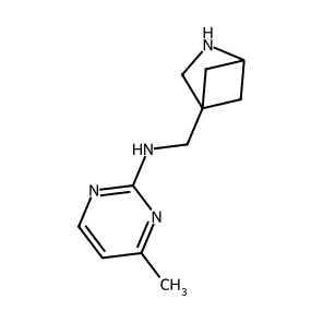 Cc1ccnc(NCC23CNC(C2)C3)n1